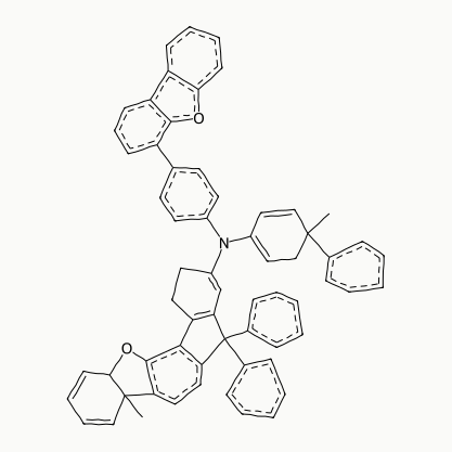 CC1(c2ccccc2)C=CC(N(C2=CC3=C(CC2)c2c(ccc4c2OC2C=CC=CC42C)C3(c2ccccc2)c2ccccc2)c2ccc(-c3cccc4c3oc3ccccc34)cc2)=CC1